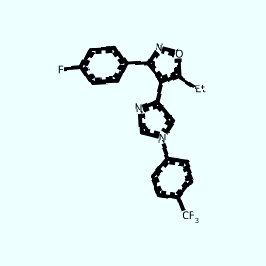 CCc1onc(-c2ccc(F)cc2)c1-c1cn(-c2ccc(C(F)(F)F)cc2)cn1